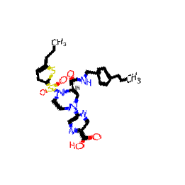 CCCC1=CCC(S(=O)(=O)N2CCN(c3cnc(C(=O)O)cn3)C[C@@H]2C(=O)NCc2ccc(CCC)cc2)S1